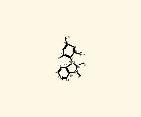 Cc1cc(F)cc(F)c1N1c2ccncc2N(C)[C@@H]1C